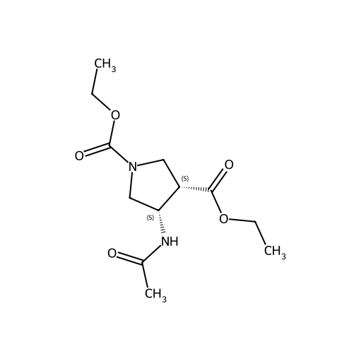 CCOC(=O)[C@H]1CN(C(=O)OCC)C[C@H]1NC(C)=O